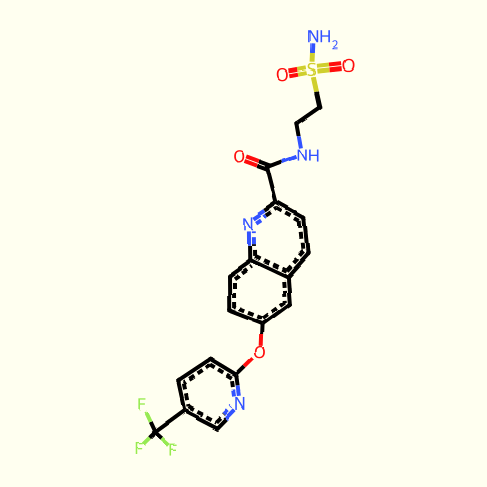 NS(=O)(=O)CCNC(=O)c1ccc2cc(Oc3ccc(C(F)(F)F)cn3)ccc2n1